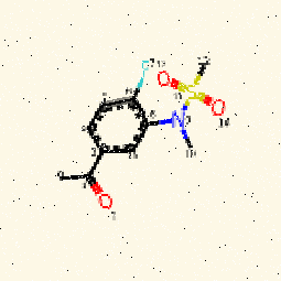 CC(=O)c1ccc(F)c(N(C)S(C)(=O)=O)c1